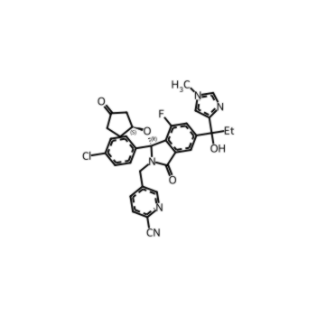 CCC(O)(c1cc(F)c2c(c1)C(=O)N(Cc1ccc(C#N)nc1)[C@@]2(O[C@H]1CCC(=O)C1)c1ccc(Cl)cc1)c1cn(C)cn1